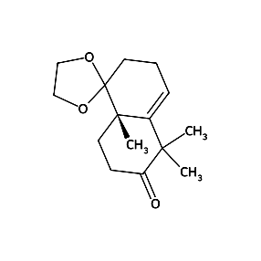 CC1(C)C(=O)CC[C@@]2(C)C1=CCCC21OCCO1